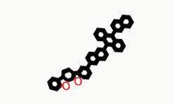 C1=CC2c3ccccc3OC2c2oc3ccc(-c4ccc5cc(-c6c7ccccc7c(-c7ccc8ccccc8c7)c7ccccc67)ccc5c4)cc3c21